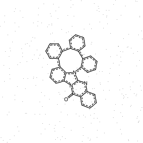 O=c1c2ccccc2nc2n1c1cccc3c4ccccc4c4ccccc4c4ccccc4n2c31